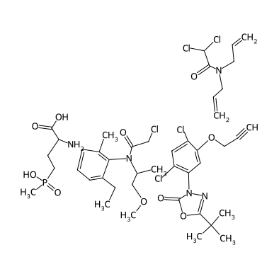 C#CCOc1cc(-n2nc(C(C)(C)C)oc2=O)c(Cl)cc1Cl.C=CCN(CC=C)C(=O)C(Cl)Cl.CCc1cccc(C)c1N(C(=O)CCl)C(C)COC.CP(=O)(O)CCC(N)C(=O)O